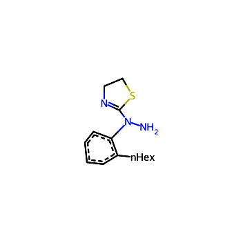 CCCCCCc1ccccc1N(N)C1=NCCS1